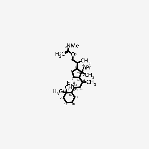 C=C(NC)OCC(C)C1CCC(C(C)C[C@H](CC)C2CCCCC2(C)C)C1(C)CCC